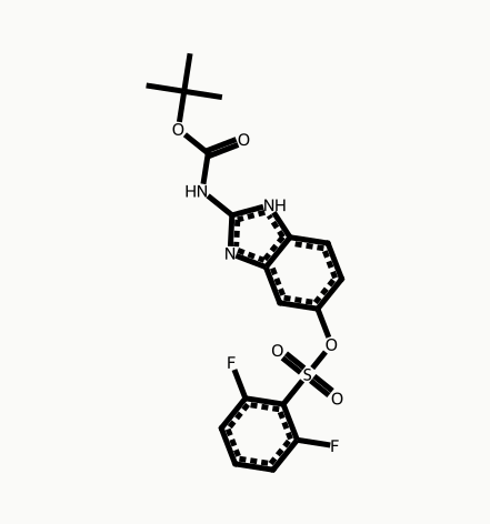 CC(C)(C)OC(=O)Nc1nc2cc(OS(=O)(=O)c3c(F)cccc3F)ccc2[nH]1